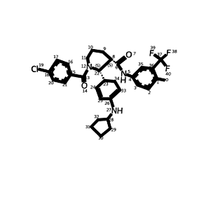 Cc1ccc(NC(=O)[C@H]2CCCN(C(=O)c3ccc(Cl)cc3)[C@H]2C2C=CC(NC3CCCC3)=CC2)cc1C(F)(F)F